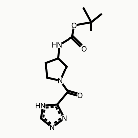 CC(C)(C)OC(=O)NC1CCN(C(=O)c2nnc[nH]2)C1